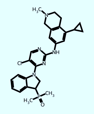 CN1CCc2c(cc(Nc3ncc(Cl)c(N4CC(P(C)(C)=O)c5ccccc54)n3)cc2C2CC2)C1